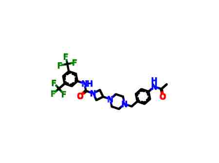 CC(=O)Nc1ccc(CN2CCN(C3CN(C(=O)Nc4cc(C(F)(F)F)cc(C(F)(F)F)c4)C3)CC2)cc1